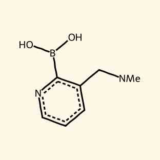 CNCc1cccnc1B(O)O